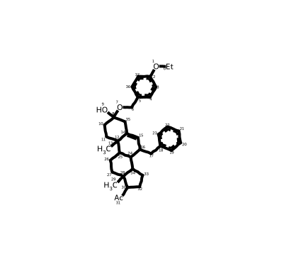 CCOc1ccc(COC2(O)CCC3(C)C(=CC(Cc4ccccc4)C4C3CCC3(C)C(C(C)=O)CCC43)C2)cc1